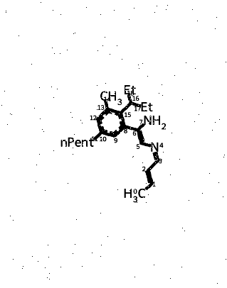 C/C=C/C=N\C=C(/N)c1cc(CCCCC)cc(C)c1C(CC)CC